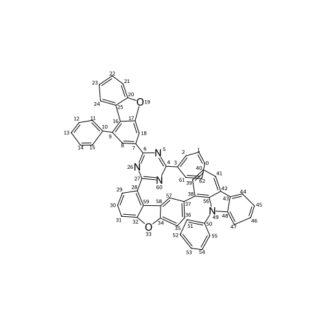 c1ccc(-c2nc(-c3cc(-c4ccccc4)c4c(c3)oc3ccccc34)nc(-c3cccc4oc5ccc(-c6cccc7c8ccccc8n(-c8ccccc8)c67)cc5c34)n2)cc1